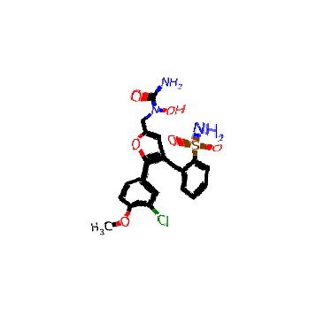 COc1ccc(-c2oc(CN(O)C(N)=O)cc2-c2ccccc2S(N)(=O)=O)cc1Cl